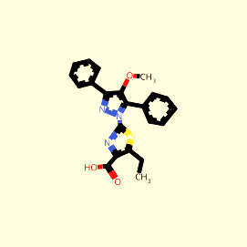 CCc1sc(-n2nc(-c3ccccc3)c(OC)c2-c2ccccc2)nc1C(=O)O